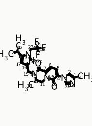 Cc1cn(-c2ccc3n(c2=O)C[C@@H](C)N(Cc2cc(C(C)C)n(CC(F)(F)F)n2)C3=O)cn1